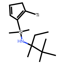 CCC(C)(N[Si](C)(C)C1=[C]([Ti])CC=C1)C(C)(C)C